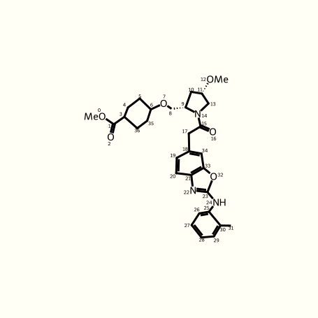 COC(=O)C1CCC(OC[C@@H]2C[C@H](OC)CN2C(=O)Cc2ccc3nc(Nc4ccccc4C)oc3c2)CC1